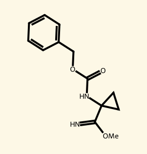 COC(=N)C1(NC(=O)OCc2ccccc2)CC1